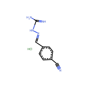 Cl.N#Cc1ccc(C=NNC(=N)N)cc1